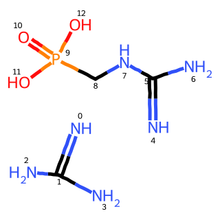 N=C(N)N.N=C(N)NCP(=O)(O)O